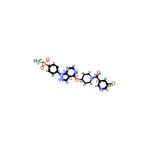 CS(=O)(=O)c1ccc(-n2ncc3c(OC4CCN(C(=O)c5cncc(Cl)c5)CC4)ncnc32)cc1